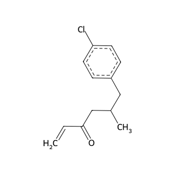 C=CC(=O)CC(C)Cc1ccc(Cl)cc1